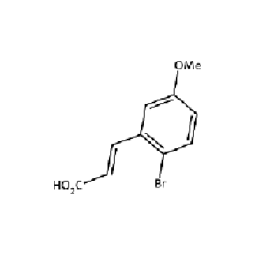 COc1ccc(Br)c(/C=C/C(=O)O)c1